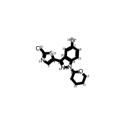 Clc1ncc(-c2nn(C3CCCCO3)c3ccc(Br)cc23)s1